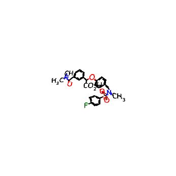 CN(C)C(=O)c1cccc(C(Oc2ccc(CN(C)S(=O)(=O)c3ccc(F)cc3)cc2)C(=O)O)c1